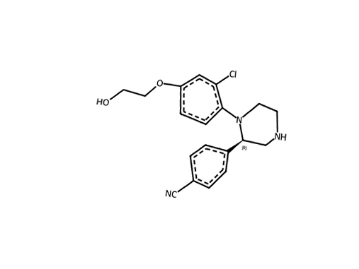 N#Cc1ccc([C@@H]2CNCCN2c2ccc(OCCO)cc2Cl)cc1